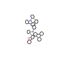 c1cc(-c2ccc(N(c3ccc4c5ccccc5c5ccccc5c4c3)c3ccccc3-c3cccc4c3oc3ccccc34)cc2)cc(-c2ccccc2-n2c3ccccc3c3ccccc32)c1